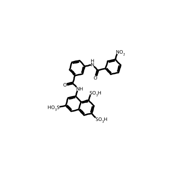 O=C(Nc1cccc(C(=O)Nc2cc(S(=O)(=O)O)cc3cc(S(=O)(=O)O)cc(S(=O)(=O)O)c23)c1)c1cccc([N+](=O)[O-])c1